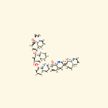 Oc1cccc2cccnc12.[Cu+2].[Cu+2].[O-]c1cccc2cccnc12.[O-]c1cccc2cccnc12.[O-]c1cccc2cccnc12.[O-]c1cccc2cccnc12